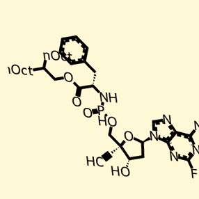 C#C[C@]1(CO[PH](=O)N[C@@H](Cc2ccccc2)C(=O)OCC(CCCCCCCC)CCCCCCCC)O[C@@H](n2cnc3c(N)nc(F)nc32)C[C@@H]1O